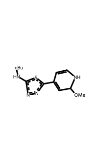 CCCCNc1nnc(C2=CC(OC)NC=C2)s1